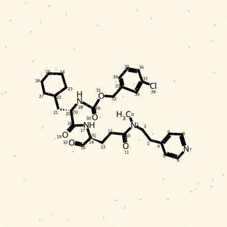 CN(CCc1ccncc1)C(=O)CC[C@@H](C=O)NC(=O)[C@H](CC1CCCCC1)NC(=O)OCc1cccc(Cl)c1